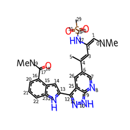 CN/C=C(\C=C(/C)c1cnc2[nH]nc(-c3cc4c(C(=O)NC)cccc4[nH]3)c2c1)NS(C)(=O)=O